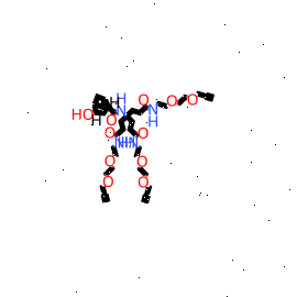 C#CCOCCOCCNC(=O)CCC(CCC(=O)NCCOCCOCC#C)(CCC(=O)NCCOCCOCC#C)NC(=O)[C@@H]1C[C@H](O)C2CC1C2